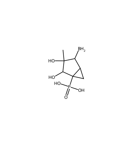 BC1C2CC2(P(=O)(O)O)C(O)C1(C)O